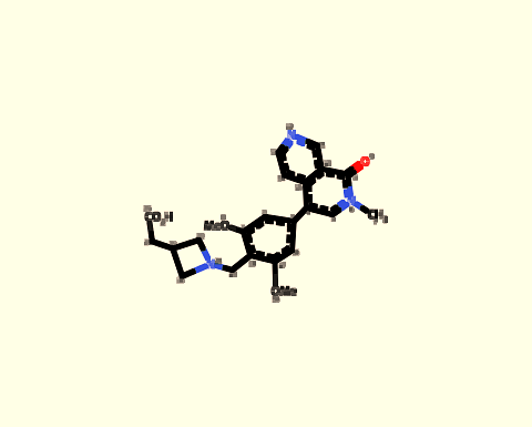 COc1cc(-c2cn(C)c(=O)c3cnccc23)cc(OC)c1CN1CC(CC(=O)O)C1